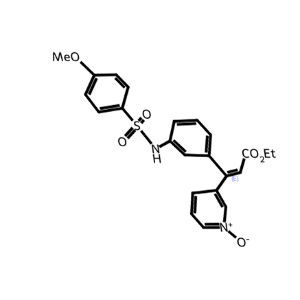 CCOC(=O)/C=C(\c1cccc(NS(=O)(=O)c2ccc(OC)cc2)c1)c1ccc[n+]([O-])c1